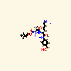 CC(C)[C@H](NC(=O)OCC[Si](C)(C)C)C(=O)N[C@@H](CCCCN)C(=O)Nc1ccc(CO)cc1